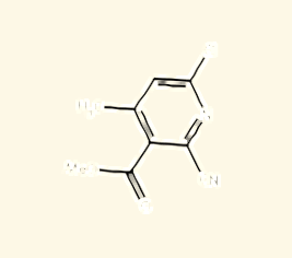 COC(=O)c1c(C)cc(Cl)nc1C#N